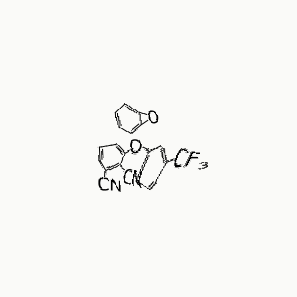 N#Cc1cccc(Oc2cccc(C(F)(F)F)c2)c1C#N.c1ccc2c(c1)O2